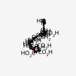 Cc1cc(OCCCC(=O)NCCNC(=O)[C@H](CS(=O)(=O)O)NC(=S)Nc2ccc(CC3CN(CC(=O)O)CCN(CC(=O)O)CCC(CC(=O)O)CCN3CC(=O)O)cc2)cc(C)c1S(=O)(=O)N[C@@H](CNC(=O)CCCCc1ccc2c(n1)NCCC2)C(=O)O